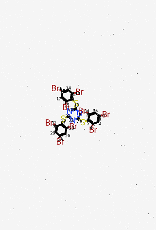 Brc1cc(Br)c(Sc2nc(Sc3c(Br)cc(Br)cc3Br)nc(Sc3c(Br)cc(Br)cc3Br)n2)c(Br)c1